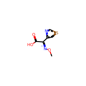 CO/N=C(/C(=O)O)c1cscn1